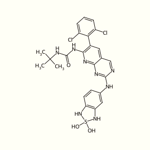 CC(C)(C)NC(=O)Nc1nc2nc(Nc3ccc4c(c3)NS(O)(O)N4)ncc2cc1-c1c(Cl)cccc1Cl